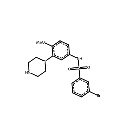 COc1ccc(NS(=O)(=O)c2cccc(Br)c2)cc1N1CCNCC1